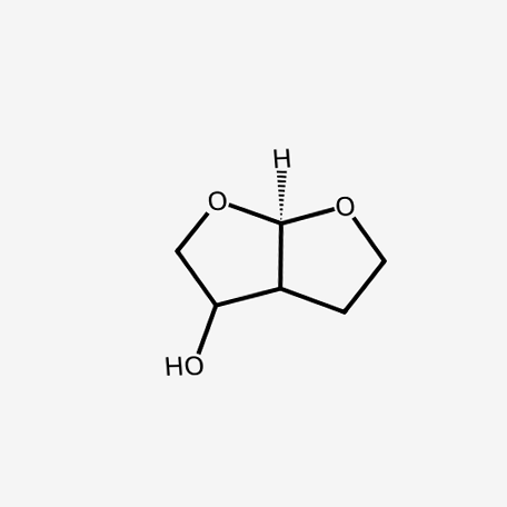 OC1CO[C@H]2OCCC12